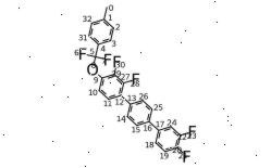 Cc1ccc(C(F)(F)Oc2ccc(-c3ccc(-c4ccc(F)c(F)c4)cc3)c(F)c2F)cc1